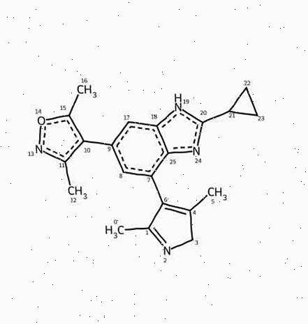 CC1=NCC(C)=C1c1cc(-c2c(C)noc2C)cc2[nH]c(C3CC3)nc12